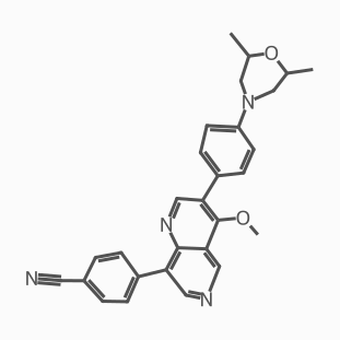 COc1c(-c2ccc(N3CC(C)OC(C)C3)cc2)cnc2c(-c3ccc(C#N)cc3)cncc12